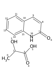 CC(O)C(=O)O.O=c1ccc2ccccc2[nH]1